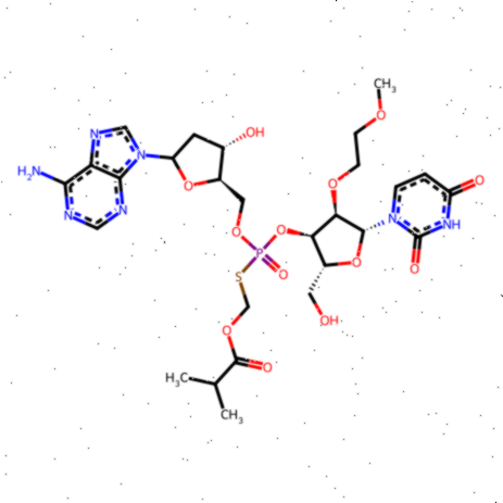 COCCO[C@@H]1[C@H](OP(=O)(OC[C@H]2OC(n3cnc4c(N)ncnc43)C[C@@H]2O)SCOC(=O)C(C)C)[C@@H](CO)O[C@H]1n1ccc(=O)[nH]c1=O